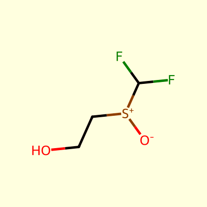 [O-][S+](CCO)C(F)F